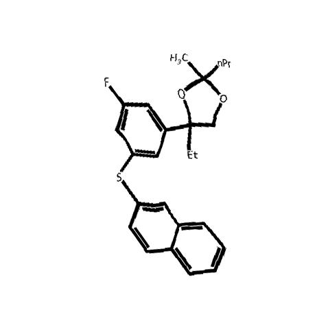 CCCC1(C)OCC(CC)(c2cc(F)cc(Sc3ccc4ccccc4c3)c2)O1